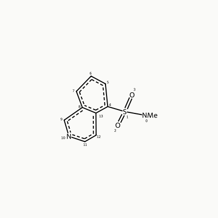 CNS(=O)(=O)c1cccc2cnccc12